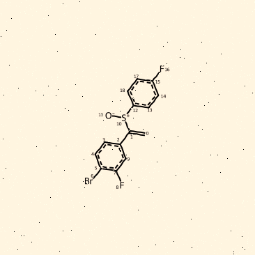 C=C(c1ccc(Br)c(F)c1)[S+]([O-])c1ccc(F)cc1